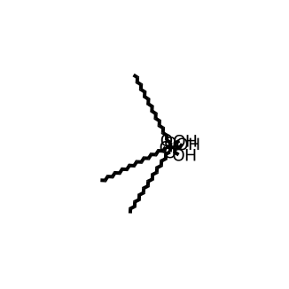 CCCCCCCCCCCCCCCCCCOOC(OCCCCCCCCCCCCCCCCCC)(OCCCCCCCCCCCCCCCCCC)C(CO)(CO)CO